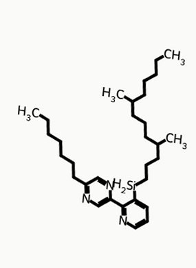 CCCCCCCc1cnc(-c2ncccc2[SiH2]CCCC(C)CCCC(C)CCCCC)cn1